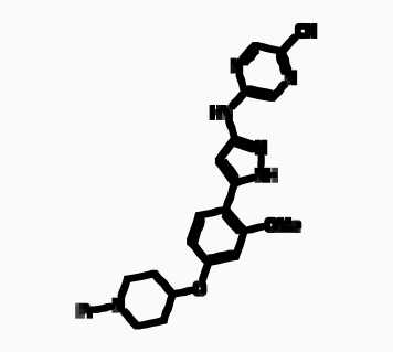 COc1cc(OC2CCN(C(C)C)CC2)ccc1-c1cc(Nc2cnc(C#N)cn2)n[nH]1